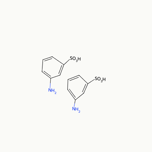 Nc1cccc(S(=O)(=O)O)c1.Nc1cccc(S(=O)(=O)O)c1